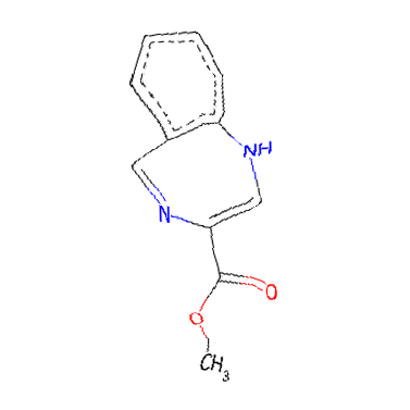 COC(=O)C1=CNc2ccccc2C=N1